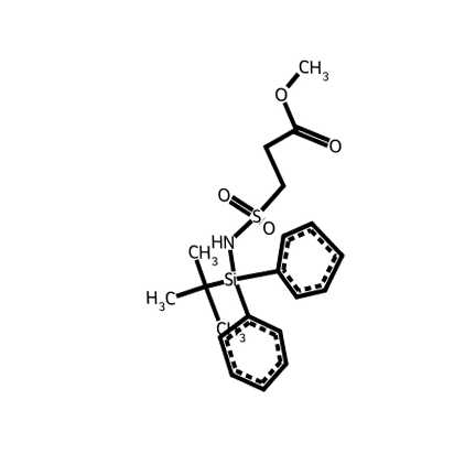 COC(=O)CCS(=O)(=O)N[Si](c1ccccc1)(c1ccccc1)C(C)(C)C